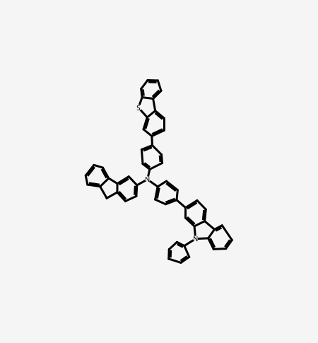 c1ccc(-n2c3ccccc3c3ccc(-c4ccc(N(c5ccc(-c6ccc7c(c6)sc6ccccc67)cc5)c5ccc6c(c5)-c5ccccc5C6)cc4)cc32)cc1